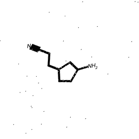 N#CCCC1CCC(N)C1